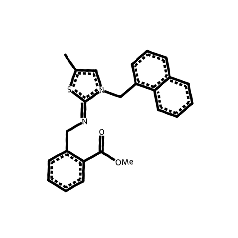 COC(=O)c1ccccc1CN=c1sc(C)cn1Cc1cccc2ccccc12